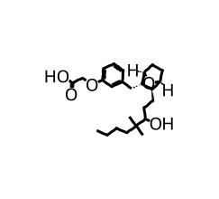 CCCCC(C)(C)C(O)CC[C@H]1[C@H](Cc2cccc(OCC(=O)O)c2)[C@H]2CC[C@@H]1O2